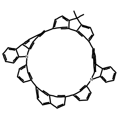 CC1(C)c2ccc3cc2-c2cc(ccc21)-c1ccc2c(c1)c1ccccc1n2-c1cccc(c1)-c1ccc2ccc(cc2c1)-c1cccc(c1)-n1c2ccccc2c2cc-3ccc21